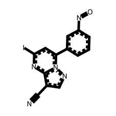 N#Cc1cnn2c(-c3cccc(N=O)c3)cc(I)nc12